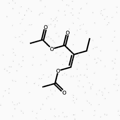 CCC(=COC(C)=O)C(=O)OC(C)=O